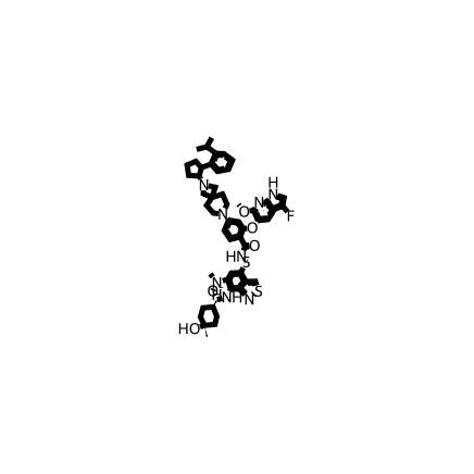 COc1nc2[nH]cc(F)c2cc1Oc1cc(N2CCC3(CC2)CN(C2CCCC2c2ccccc2C(C)C)C3)ccc1C(=O)NSc1cc([NH+](C)[O-])c(NC[C@H]2CC[C@](C)(O)CC2)c2nscc12